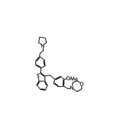 COc1cc(Cc2c(-c3ccc(CCN4CCCC4)cc3)sc3ccccc23)ccc1CN1CCOCC1